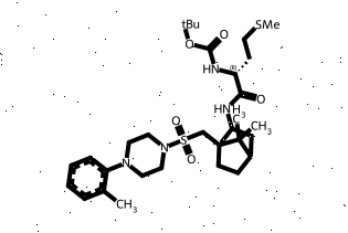 CSCC[C@@H](NC(=O)OC(C)(C)C)C(=O)NC1CC2CCC1(CS(=O)(=O)N1CCN(c3ccccc3C)CC1)C2(C)C